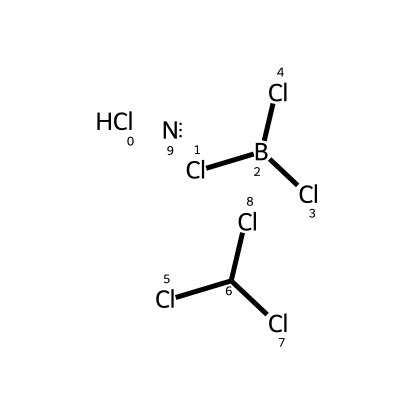 Cl.ClB(Cl)Cl.ClC(Cl)Cl.[N]